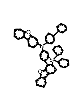 c1ccc(-c2ccc(N(c3ccc4c(c3)[Si](c3ccccc3)(c3ccccc3)c3ccc5c(oc6ccccc65)c3-4)c3ccc4c(c3)oc3ccccc34)cc2)cc1